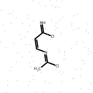 C/C(Cl)=N\C=C/C(=N)Cl